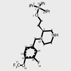 CC(C)[Si](OCC[C@H]1CNCCN1Cc1ccc(OC(F)(F)F)c(F)c1)(C(C)C)C(C)C